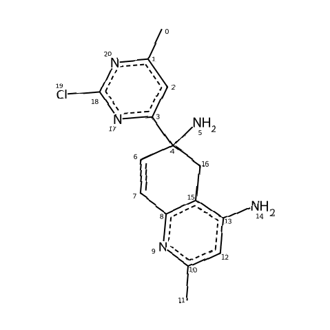 Cc1cc(C2(N)C=Cc3nc(C)cc(N)c3C2)nc(Cl)n1